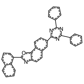 c1ccc(-c2nc(-c3ccccc3)nc(-c3ccc4c(ccc5nc(-c6cccc7ccccc67)oc54)c3)n2)cc1